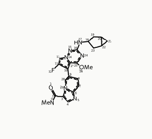 CNC(=O)c1cnc2ccc(-c3c(F)cn4nc(NC5CC6CC6C5)nc(OC)c34)cn12